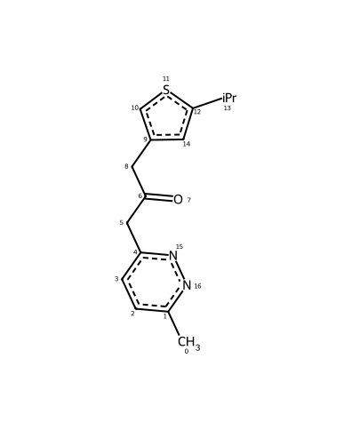 Cc1ccc(CC(=O)Cc2csc(C(C)C)c2)nn1